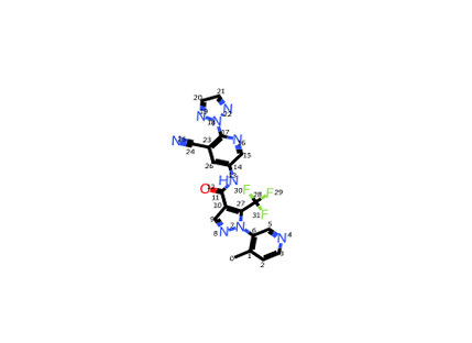 Cc1ccncc1-n1ncc(C(=O)Nc2cnc(-n3nccn3)c(C#N)c2)c1C(F)(F)F